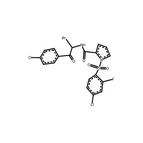 CC(C)C(NC(=O)c1cccn1S(=O)(=O)c1ccc(Cl)cc1F)C(=O)c1ccc(Cl)cc1